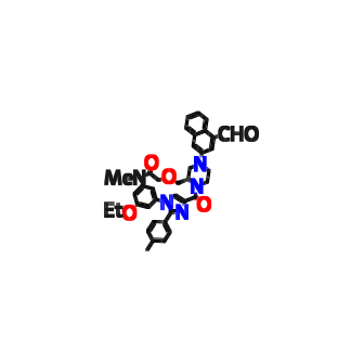 CCOc1cccc(-n2cc(C(=O)N3CCN(c4cc(C=O)c5ccccc5c4)C[C@@H]3COCC(=O)NC)nc2-c2ccc(C)cc2)c1